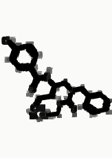 CCCC(CN(Cc1ccccc1)C(=O)OCC)OC(=O)c1ccc(Cl)cc1